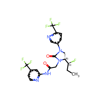 CC[C@H](F)[C@H]1CN(c2ccc(C(F)(F)F)nc2)C(=O)N1CC(=O)Nc1cc(C(F)(F)F)ccn1